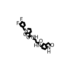 O=C(CCCNC(=O)c1cccn(Cc2ccc(F)c(F)c2)c1=O)Nc1ccc2c(c1)CC(=O)N2